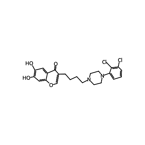 O=c1c(CCCCN2CCN(c3cccc(Cl)c3Cl)CC2)coc2cc(O)c(O)cc12